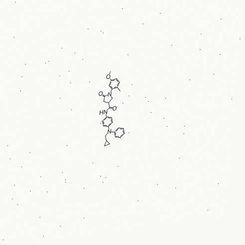 COc1ccc(C)c(N2CC(C(=O)Nc3ccc(N(CC4CC4)c4ccccc4)cc3)CC2=O)c1